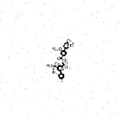 C=N/C=C\C(=C/C)c1ccc(C(=O)NCC(O)(c2cc(C(C)(C)N)cc(-c3ccc(F)cc3)n2)C(F)(F)F)cc1OC